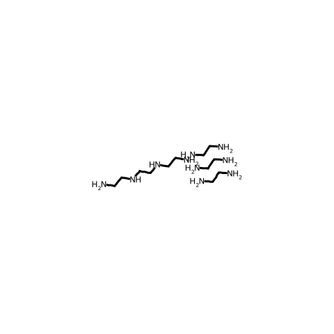 NCCN.NCCN.NCCN.NCCNCCNCCN